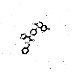 Cc1ccc2c(c1)COC(=O)N2C1CCN(C(C(=O)NCc2ccccc2)C2=COCO2)CC1